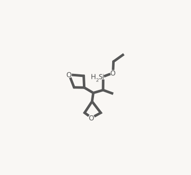 CCO[SiH2]C(C)C(C1COC1)C1COC1